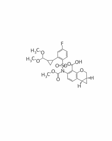 COC(=O)N(c1ccc2c(c1C(=O)O)OC[C@@H]1C[C@H]21)S(=O)(=O)c1ccc(F)cc1C1CC1C(OC)OC